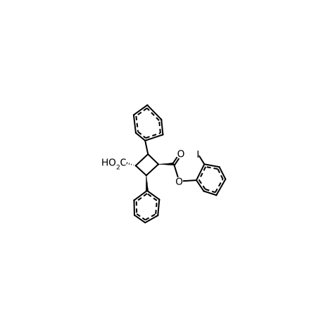 O=C(O)[C@@H]1C(c2ccccc2)[C@@H](C(=O)Oc2ccccc2I)[C@H]1c1ccccc1